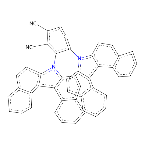 N#Cc1ccc(-n2c3ccc4ccccc4c3c3c4ccccc4ccc32)c(-n2c3ccc4ccccc4c3c3c4ccccc4ccc32)c1C#N